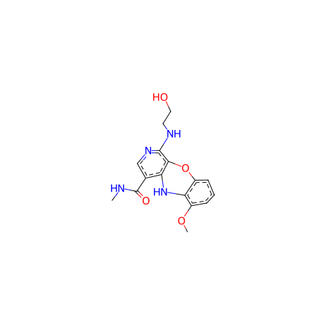 CNC(=O)c1cnc(NCCO)c2c1Nc1c(OC)cccc1O2